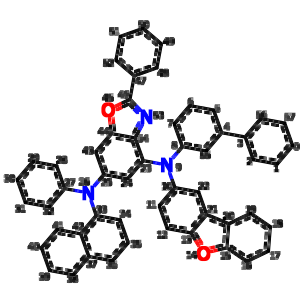 c1ccc(-c2cccc(N(c3ccc4oc5ccccc5c4c3)c3cc(N(c4ccccc4)c4cccc5ccccc45)cc4oc(-c5ccccc5)nc34)c2)cc1